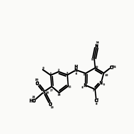 Cc1cc(Nc2nc(Cl)nc(Cl)c2C#N)ccc1S(=O)(=O)O